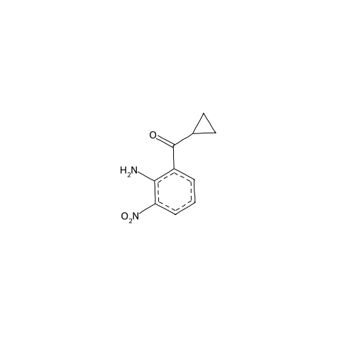 Nc1c(C(=O)C2CC2)cccc1[N+](=O)[O-]